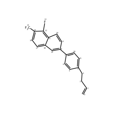 C=CCCc1ccc(-c2ccc3c(F)c(C(F)(F)F)ccc3c2)cc1